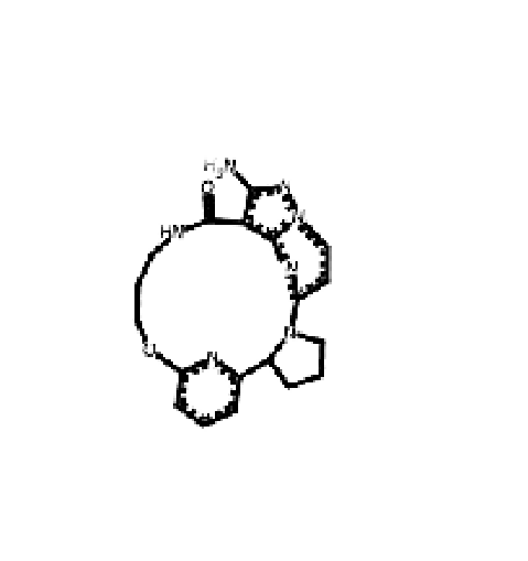 Nc1nn2ccc3nc2c1C(=O)NCCCOc1cccc(n1)C1CCCN31